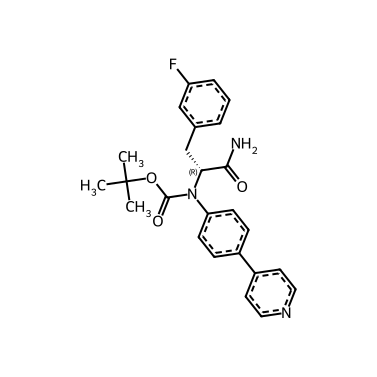 CC(C)(C)OC(=O)N(c1ccc(-c2ccncc2)cc1)[C@H](Cc1cccc(F)c1)C(N)=O